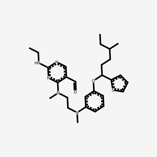 CCNc1ncc(C=O)c(N(C)CCN(C)c2cccc(OC(CCC(C)CC)c3cccs3)c2)n1